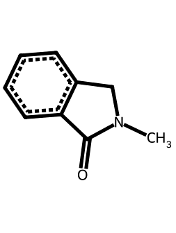 CN1Cc2ccccc2C1=O